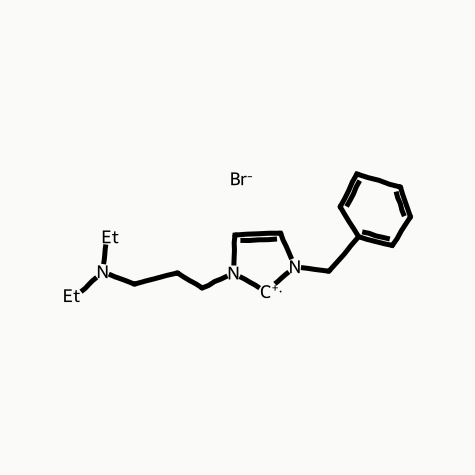 CCN(CC)CCCN1[C+]N(Cc2ccccc2)C=C1.[Br-]